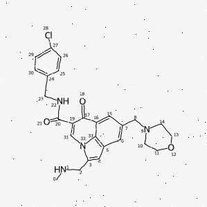 CNCc1cc2cc(CN3CCOCC3)cc3c(=O)c(C(=O)NCc4ccc(Cl)cc4)cn1c23